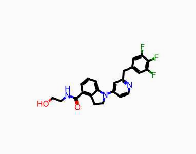 O=C(NCCO)c1cccc2c1CCN2c1ccnc(Cc2cc(F)c(F)c(F)c2)c1